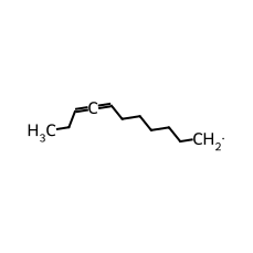 [CH2]CCCCCC=C=CCC